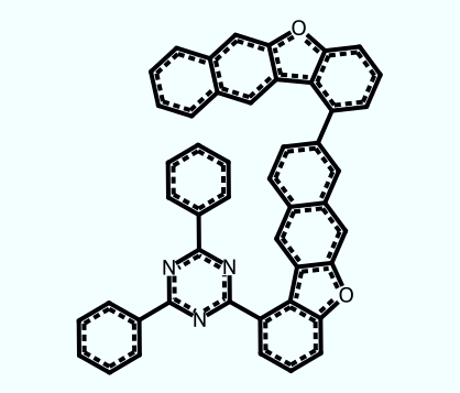 c1ccc(-c2nc(-c3ccccc3)nc(-c3cccc4oc5cc6cc(-c7cccc8oc9cc%10ccccc%10cc9c78)ccc6cc5c34)n2)cc1